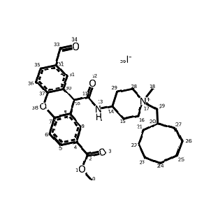 COC(=O)c1ccc2c(c1)C(C(=O)NC1CC[N+](C)(CC3CCCCCCC3)CC1)c1cc(C=O)ccc1O2.[I-]